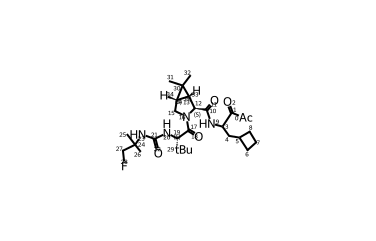 CC(=O)C(=O)C(CC1CCC1)NC(=O)[C@@H]1[C@@H]2[C@H](CN1C(=O)[C@@H](NC(=O)NC(C)(C)CF)C(C)(C)C)C2(C)C